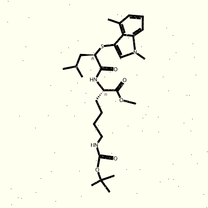 COC(=O)[C@H](CCCCNC(=O)OC(C)(C)C)NC(=O)[C@@H](CC(C)C)Sc1cn(C)c2cccc(C)c12